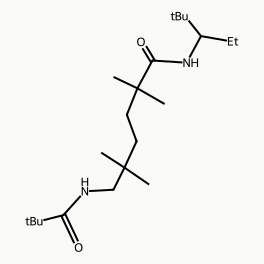 CCC(NC(=O)C(C)(C)CCC(C)(C)CNC(=O)C(C)(C)C)C(C)(C)C